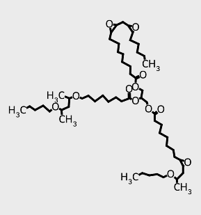 CCCCCOC(C)CC(C)OCCCCCCCC(=O)OC(COC(=O)CCCCCCCC1OC1CC(C)OCCCCC)COC(=O)CCCCCCCC1OC1CC1OC1CCCCC